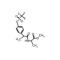 COC(=O)C(C)NC(=O)C(C)c1ccc(OS(=O)(=O)C(F)(F)F)cc1